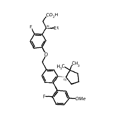 CC[C@H](CC(=O)O)c1cc(OCc2ccc(-c3cc(OC)ccc3F)c([C@H]3CCCC3(C)C)c2)ccc1F